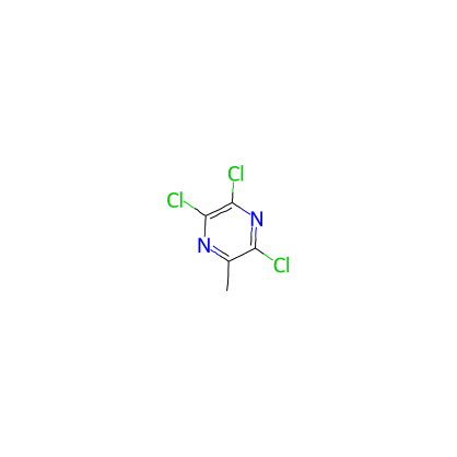 Cc1nc(Cl)c(Cl)nc1Cl